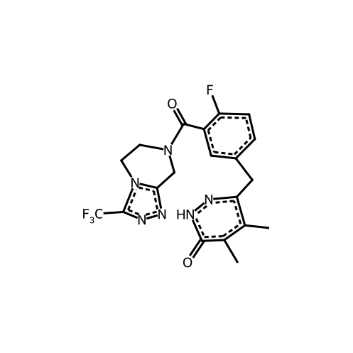 Cc1c(Cc2ccc(F)c(C(=O)N3CCn4c(nnc4C(F)(F)F)C3)c2)n[nH]c(=O)c1C